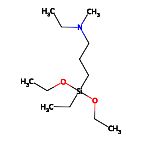 CCO[Si](CC)(CCCN(C)CC)OCC